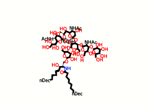 CCCCCCCCCCCCC/C=C/[C@@H](O)[C@H](CO[C@@H]1OC(CO)[C@@H](O[C@@H]2OC(CO)[C@H](O[C@@H]3OC(CO)[C@H](O)[C@H](O[C@@H]4OC(CO)[C@H](O)[C@H](O)C4O)C3NC(C)=O)[C@H](O[C@]3(C(=O)O)CC(O)[C@@H](NC(C)=O)C([C@H](O)[C@@H](CO)O[C@]4(C(=O)O)CC(O)[C@@H](NC(C)=O)C([C@H](O)[C@H](O)CO)O4)O3)C2O)[C@H](O)C1O)NC(=O)CCCCCCCCCCCCCCCCC